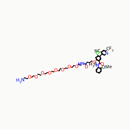 COc1ccccc1N(C)C(=O)c1cc(-c2cnc(C(F)(F)F)cc2C#N)c(Cl)cc1OCCCC(=O)NCCOCCOCCOCCOCCOCCOCCOCCOCCN